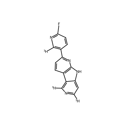 [3H]c1cc2[nH]c3nc(-c4ccc(F)nc4[3H])ccc3c2c([3H])n1